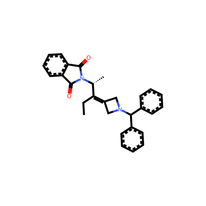 CCC(=C1CN(C(c2ccccc2)c2ccccc2)C1)[C@@H](C)N1C(=O)c2ccccc2C1=O